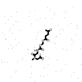 CN(CC(=O)I)C(=O)CNC(=O)OCOC(=O)CCC(=O)I